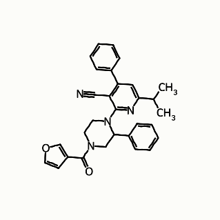 CC(C)c1cc(-c2ccccc2)c(C#N)c(N2CCN(C(=O)c3ccoc3)CC2c2ccccc2)n1